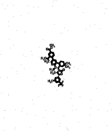 COC(=O)c1ccc(-c2cnc(OC)c(C3=C(CN4C(=O)O[C@H](c5cc(C)cc(C(F)(F)F)c5)[C@@H]4C)CC(C)(C)CC3)c2)c(C(C)C)c1